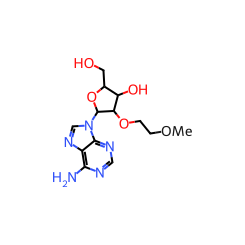 COCCOC1C(O)C(CO)OC1n1cnc2c(N)ncnc21